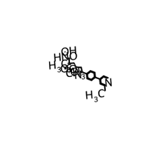 CCc1cc(-c2ccc(C3=NO[C@@H](CC(C)(C(=O)NO)S(C)(=O)=O)C3)cc2)ccn1